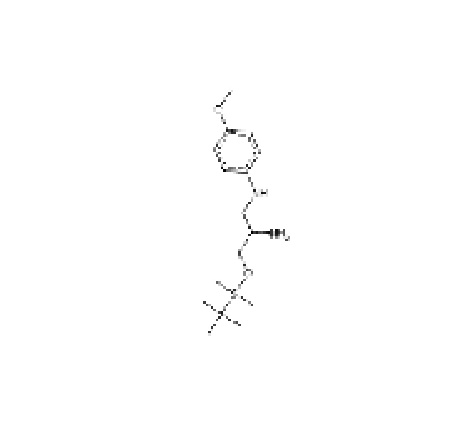 COc1ccc(NC[C@@H](N)CO[Si](C)(C)C(C)(C)C)cc1